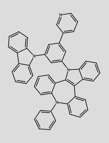 c1ccc(N2c3ccccc3-c3c(n(-c4cc(-c5cccnc5)cc(-n5c6ccccc6c6ccccc65)c4)c4ccccc34)-c3ccccc32)cc1